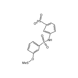 CSOc1cccc(S(=O)(=O)Nc2cccc([SH](=O)=O)c2)c1